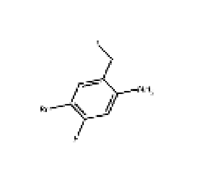 Nc1cc(F)c(Br)cc1CI